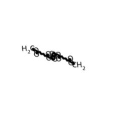 C=COC(=O)CCCCC(=O)OC1COC2C(OC(=O)CCCCC(=O)OC=C)COC12